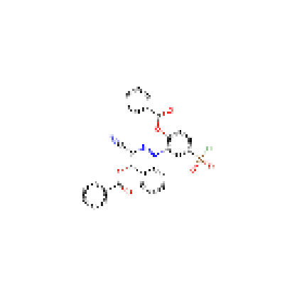 N#C/C(N=Nc1cc(S(=O)(=O)Cl)ccc1OC(=O)c1ccccc1)=C(\OC(=O)c1ccccc1)c1ccccc1